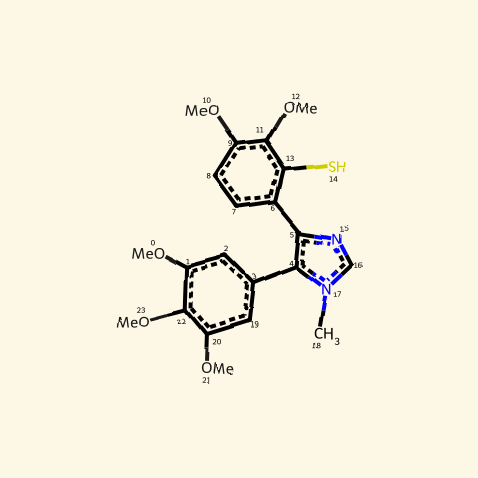 COc1cc(-c2c(-c3ccc(OC)c(OC)c3S)ncn2C)cc(OC)c1OC